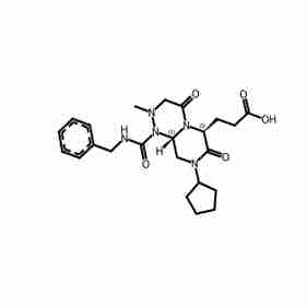 CN1CC(=O)N2[C@@H](CCC(=O)O)C(=O)N(C3CCCC3)C[C@@H]2N1C(=O)NCc1ccccc1